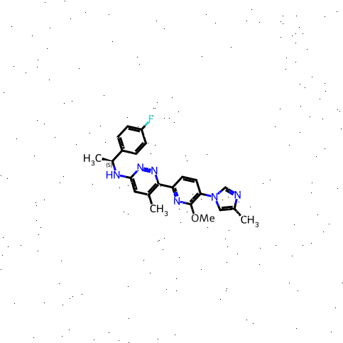 COc1nc(-c2nnc(N[C@@H](C)c3ccc(F)cc3)cc2C)ccc1-n1cnc(C)c1